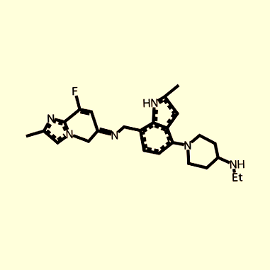 CCNC1CCN(c2ccc(CN=C3C=C(F)c4nc(C)cn4C3)c3[nH]c(C)cc23)CC1